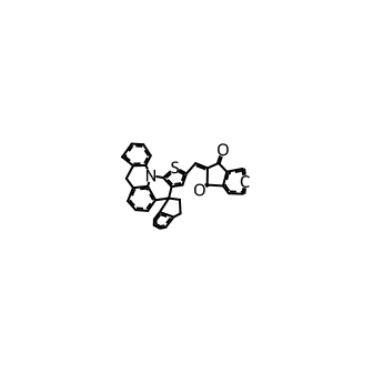 O=C1C(=Cc2cc3c(s2)N2c4ccccc4Cc4cccc(c42)C32CCc3ccccc32)C(=O)c2ccccc21